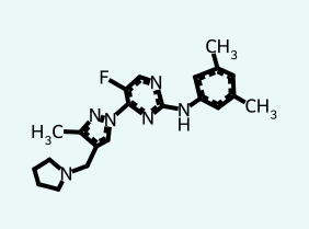 Cc1cc(C)cc(Nc2ncc(F)c(-n3cc(CN4CCCC4)c(C)n3)n2)c1